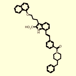 O=C(O)c1[nH]c2c(C=Cc3cccc(C(=O)N4CCC(Cc5ccccc5)CC4)c3)cccc2c1CCCOc1cccc2ccccc12